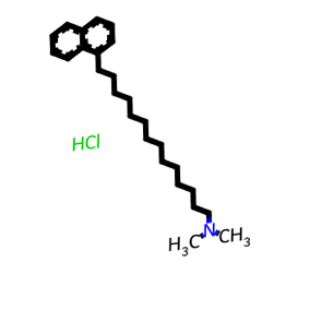 CN(C)CCCCCCCCCCCCCCc1cccc2ccccc12.Cl